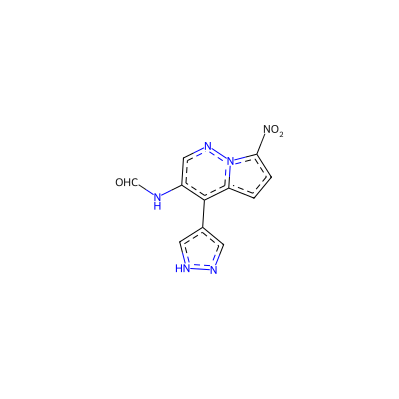 O=CNc1cnn2c([N+](=O)[O-])ccc2c1-c1cn[nH]c1